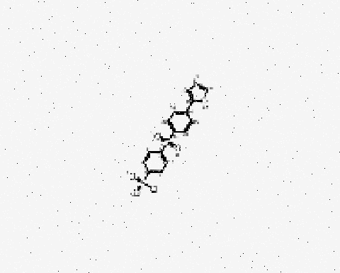 O=S(=O)(Cl)c1ccc(S(=O)(=O)c2ccc(-c3cnco3)cc2)cc1